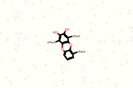 CCCCCc1cccc2c1Oc1c(CCCCC)c(O)c(O)c(CCCCC)c1O2